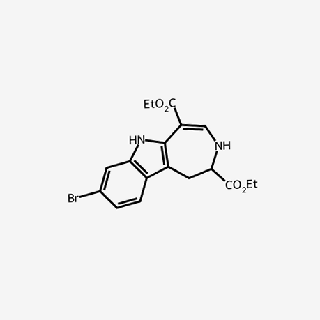 CCOC(=O)C1=CNC(C(=O)OCC)Cc2c1[nH]c1cc(Br)ccc21